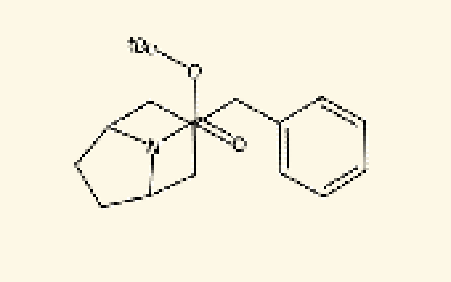 CC(C)(C)OC(=O)N1C2CCC1CC(Cc1ccccc1)C2